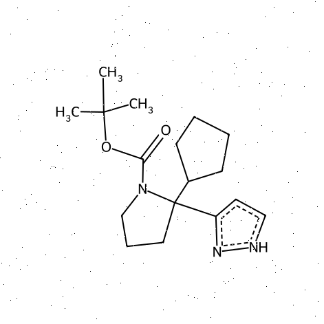 CC(C)(C)OC(=O)N1CCCC1(c1cc[nH]n1)C1CCCC1